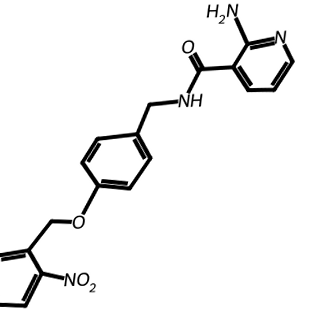 Nc1ncccc1C(=O)NCc1ccc(OCc2ccccc2[N+](=O)[O-])cc1